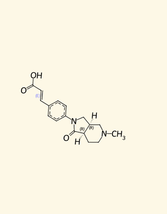 CN1CC[C@H]2C(=O)N(c3ccc(/C=C/C(=O)O)cc3)C[C@H]2C1